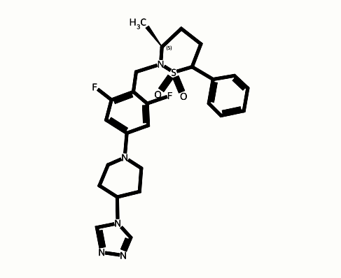 C[C@H]1CCC(c2ccccc2)S(=O)(=O)N1Cc1c(F)cc(N2CCC(n3cnnc3)CC2)cc1F